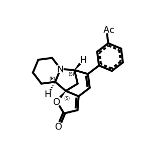 CC(=O)c1cccc(C2=CC3=CC(=O)O[C@@]34C[C@@H]2N2CCCC[C@@H]24)c1